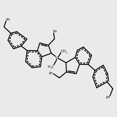 CC(C)CC1=Cc2c(-c3ccc(CC(C)C)cc3)cccc2C1[Si](C)(C)C1C(CC(C)C)=Cc2c(-c3ccc(CC(C)C)cc3)cccc21